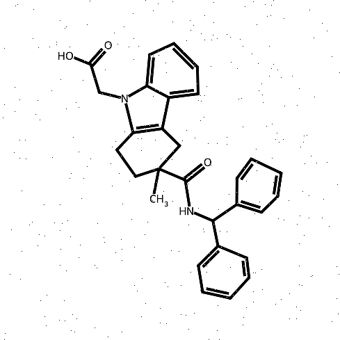 CC1(C(=O)NC(c2ccccc2)c2ccccc2)CCc2c(c3ccccc3n2CC(=O)O)C1